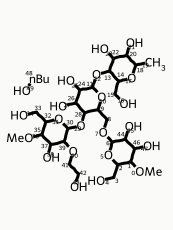 COC1C(CO)OC(OCC2OC(OC3C(CO)OC(C)C(O)C3O)C(O)C(O)C2OC2OC(CO)C(OC)C(O)C2OCCO)C(O)C1O.[CH2]CCCO